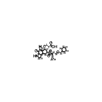 CCCC(=O)O.O=c1[nH]c2ccc(S(=O)(=O)N(CCOCc3ccccc3)C3CC3)cc2c2cc[nH]c12